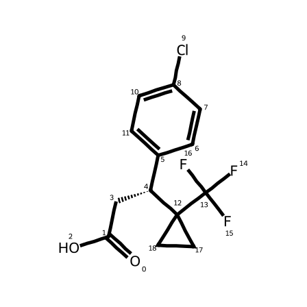 O=C(O)C[C@H](c1ccc(Cl)cc1)C1(C(F)(F)F)CC1